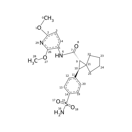 COc1ccc(NC(=O)[C@H]2[C@H](c3ccc(S(N)(=O)=O)cc3)C23CCCC3)c(OC)n1